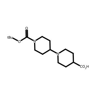 CC(C)(C)OC(=O)N1CCC(N2CCC(C(=O)O)CC2)CC1